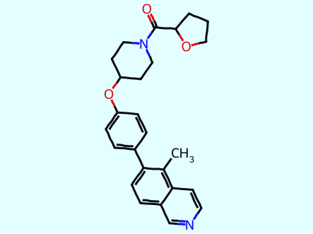 Cc1c(-c2ccc(OC3CCN(C(=O)C4CCCO4)CC3)cc2)ccc2cnccc12